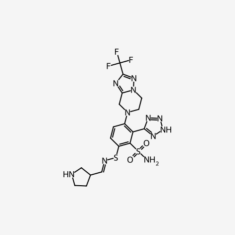 NS(=O)(=O)c1c(S/N=C/C2CCNC2)ccc(N2CCn3nc(C(F)(F)F)nc3C2)c1-c1nn[nH]n1